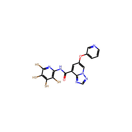 O=C(Nc1nc(S)c(S)c(S)c1S)c1cc(Oc2cccnc2)cn2ncnc12